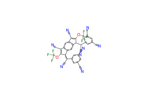 N#CC1=C(OC(F)(F)F)/C(=C(\C#N)c2cc(C#N)cc(C#N)c2)c2cc3c(cc21)C(C#N)=C(OC(F)(F)F)C3C(C#N)c1cc(C#N)cc(C#N)c1